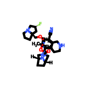 CC(C)(C)OC(=O)N1[C@@H]2CC[C@H]1CN(c1nc(OC[C@@]34CCCN3C[C@H](F)C4)c(C#N)c3c1CCNC3)C2